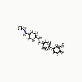 Fc1ccc(-c2ncc(CCC3CCC(/C=C/Cl)CC3)cn2)cc1F